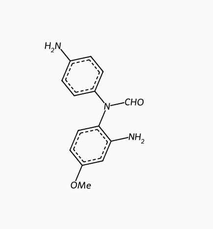 COc1ccc(N(C=O)c2ccc(N)cc2)c(N)c1